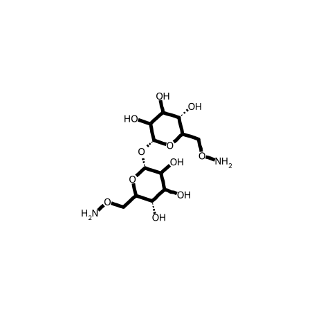 NOCC1O[C@H](O[C@H]2OC(CON)[C@@H](O)C(O)C2O)C(O)C(O)[C@@H]1O